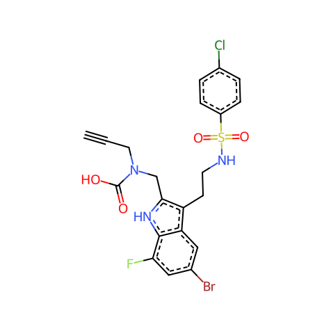 C#CCN(Cc1[nH]c2c(F)cc(Br)cc2c1CCNS(=O)(=O)c1ccc(Cl)cc1)C(=O)O